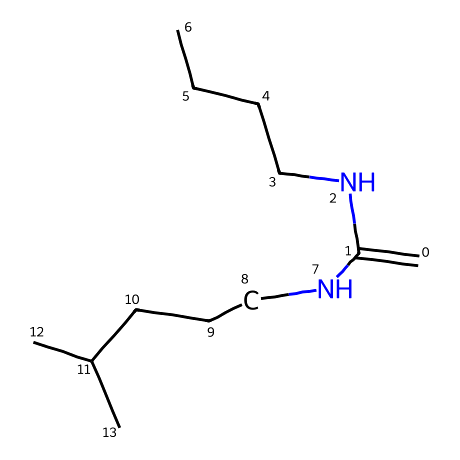 C=C(NCCCC)NCCCC(C)C